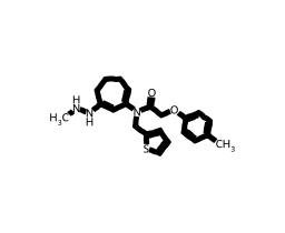 CNNC1=CC(N(Cc2cccs2)C(=O)COc2ccc(C)cc2)=CCCC1